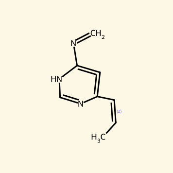 C=NC1=C=C(/C=C\C)N=CN1